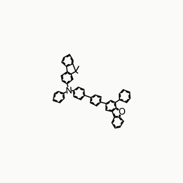 CC1(C)c2ccccc2-c2ccc(N(c3ccccc3)c3ccc(-c4ccc(-c5cc(-c6ccccc6)c6oc7ccccc7c6c5)cc4)cc3)cc21